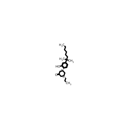 CCCCCCC(C)(C)c1ccc([C@H]2CC(=O)C[C@@H](CCC)C2)c(O)c1